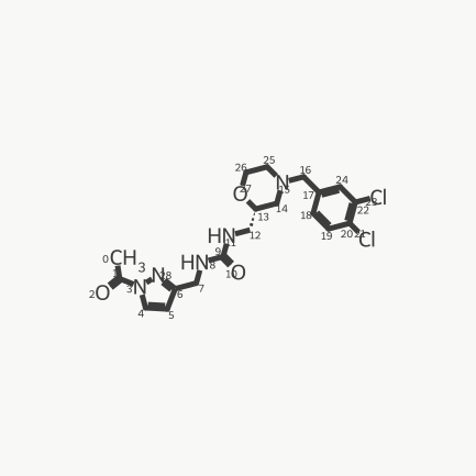 CC(=O)n1ccc(CNC(=O)NC[C@H]2CN(Cc3ccc(Cl)c(Cl)c3)CCO2)n1